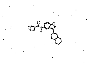 O=C(Nc1ccc2occ(C3CCN4CCCCC4C3)c2c1)c1ccoc1